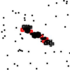 COC(=O)c1ccc(OCc2ccc3cc(OCC4COC(C)(C)O4)ccc3c2)cc1